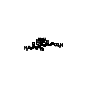 [CH2]CC(C)(OC(=O)C=C)C(CCCCC(=O)O)C(=O)O.[MgH2]